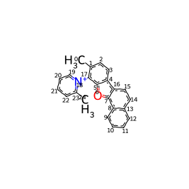 Cc1ccc2c(oc3c4ccccc4ccc23)c1-[n+]1ccccc1C